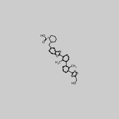 Cc1c(-c2noc(CO)n2)cccc1-c1cccc(-c2nc3cc(CN4CCCC[C@H]4C(=O)O)ccc3o2)c1C